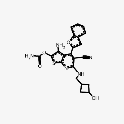 N#Cc1c(NCC2CC(O)C2)nc2sc(OC(N)=O)c(N)c2c1-c1cc2ccccc2o1